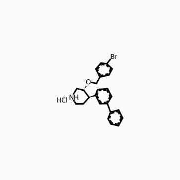 Brc1ccc(CO[C@H]2CNCC[C@@H]2c2cccc(-c3ccccc3)c2)cc1.Cl